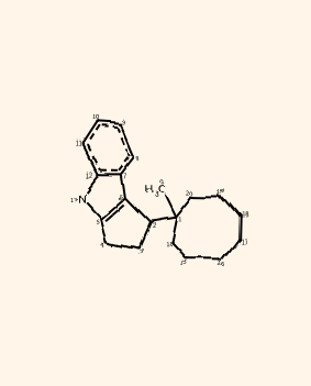 CC1(C2CCC3=C2c2ccccc2[N]3)CCCCCCC1